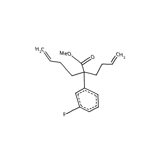 C=CCCC(CCC=C)(C(=O)OC)c1cccc(F)c1